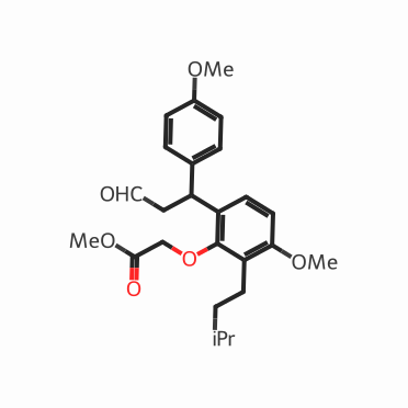 COC(=O)COc1c(C(CC=O)c2ccc(OC)cc2)ccc(OC)c1CCC(C)C